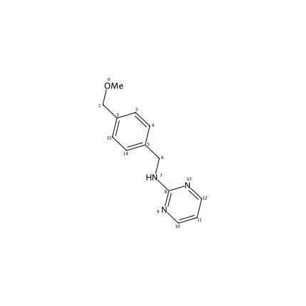 COCc1ccc(CNc2ncccn2)cc1